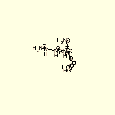 CC(C(=O)NCCCCCNC(=O)CN)C(C)(C)CNC(C(=O)NCCOCc1cccc2cc(CO)c(O)cc12)C(C)(C)C(C)(C)CCC(N)=O